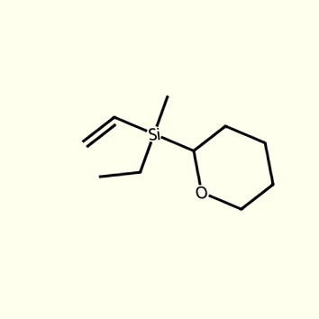 C=C[Si](C)(CC)C1CCCCO1